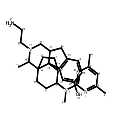 Cc1cc(C)nc(N(C)C2CCC34CCC2C32c3cc(O)ccc3CC2CN(CCN)C4C)n1